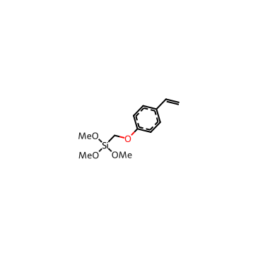 C=Cc1ccc(OC[Si](OC)(OC)OC)cc1